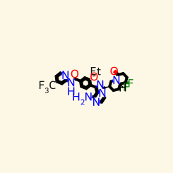 CCOc1cc(C(=O)Nc2cc(C(F)(F)F)ccn2)ccc1-c1nc([C@@H]2CC[C@@H]3N(C2)C(=O)CCC3(F)F)n2ccnc(N)c12